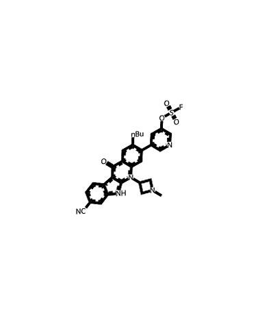 CCCCc1cc2c(=O)c3c4ccc(C#N)cc4[nH]c3n(C3CN(C)C3)c2cc1-c1cncc(OS(=O)(=O)F)c1